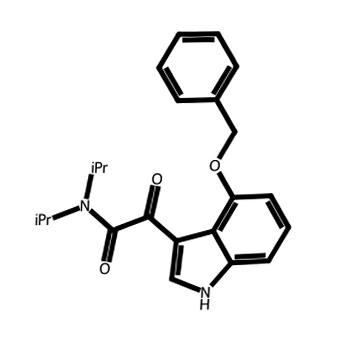 CC(C)N(C(=O)C(=O)c1c[nH]c2cccc(OCc3ccccc3)c12)C(C)C